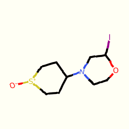 [O-][S+]1CCC(N2CCOC(I)C2)CC1